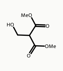 COC(=O)C(CO)C(=O)OC